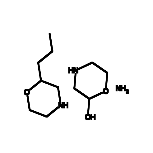 CCCC1CNCCO1.N.OC1CNCCO1